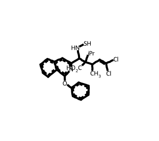 CC(C)C(C(=O)O)(C(C)C=C(Cl)Cl)C(NS)c1cc2ccccc2c(Oc2ccccc2)n1